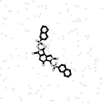 O=C1CC2=C(C(=O)N(OS(=O)(=O)c3ccc4ccccc4c3)C2=O)C2=C[N+](=O)C(OS(=O)(=O)c3ccc4ccccc4c3)C12